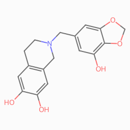 Oc1cc2c(cc1O)CN(Cc1cc(O)c3c(c1)OCO3)CC2